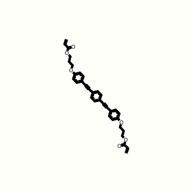 C=CC(=O)OCCCOc1ccc(C#Cc2ccc(C#Cc3ccc(OCCCOC(=O)C=C)cc3)cc2)cc1